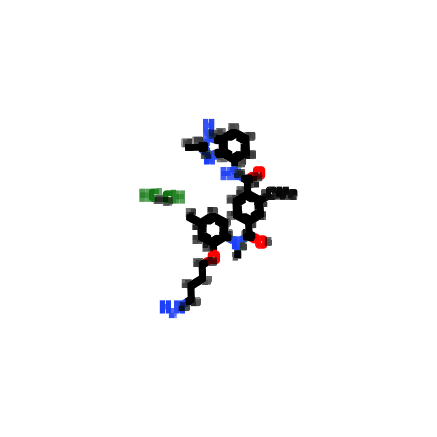 COc1cc(C(=O)N(C)c2ccc(C)cc2OCCCCN)ccc1C(=O)Nc1cccc2[nH]c(C)nc12.Cl.Cl